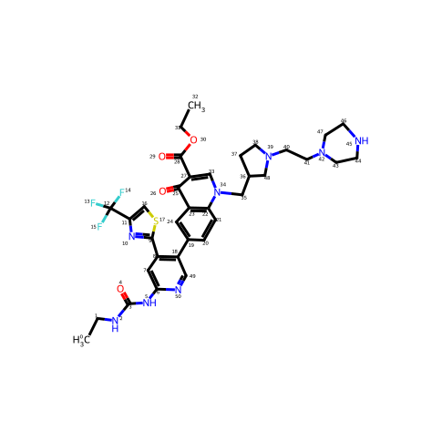 CCNC(=O)Nc1cc(-c2nc(C(F)(F)F)cs2)c(-c2ccc3c(c2)c(=O)c(C(=O)OCC)cn3CC2CCN(CCN3CCNCC3)C2)cn1